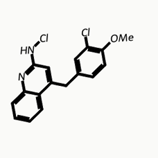 COc1ccc(Cc2cc(NCl)nc3ccccc23)cc1Cl